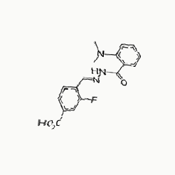 CN(C)c1ccccc1C(=O)N/N=C/c1ccc(C(=O)O)cc1F